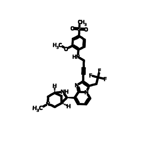 COc1cc(S(C)(=O)=O)ccc1NCC#Cc1nc2c([C@@H]3N[C@H]4C[C@@H]3CN(C)C4)cccn2c1CC(F)(F)F